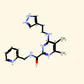 Cc1nc(C(=O)NCc2ccccn2)nc(NCCc2cn[nH]c2)c1C